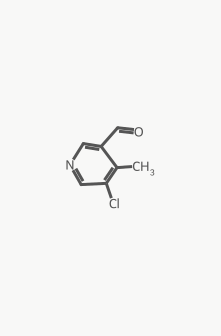 Cc1c(Cl)cncc1C=O